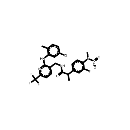 Cc1ccc(Cl)cc1Nc1nc(C(F)(F)F)ccc1CNC(=O)C(C)c1ccc(N(C)[SH](=O)=O)c(F)c1